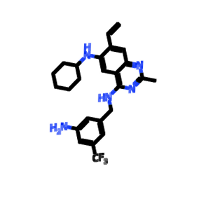 C=Cc1cc2nc(C)nc(NCc3cc(N)cc(C(F)(F)F)c3)c2cc1NC1CCCCC1